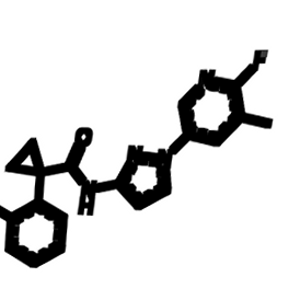 Cc1cc(-n2ccc(NC(=O)C3(c4ccccc4F)CC3)n2)cnc1F